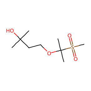 CC(C)(O)CCOC(C)(C)S(C)(=O)=O